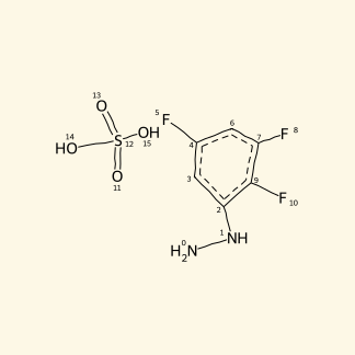 NNc1cc(F)cc(F)c1F.O=S(=O)(O)O